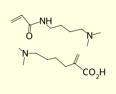 C=C(CCCCN(C)C)C(=O)O.C=CC(=O)NCCCCN(C)C